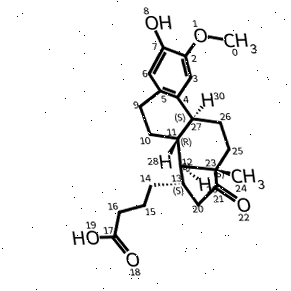 COc1cc2c(cc1O)CC[C@H]1[C@@H]3[C@@H](CCCC(=O)O)CC(=O)[C@@]3(C)CC[C@H]21